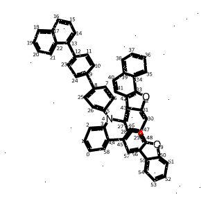 c1ccc(N(c2ccc(-c3ccc(-c4cccc5ccccc45)cc3)cc2)c2cccc3oc4c5ccccc5ccc4c23)c(-c2ccc3oc4ccccc4c3c2)c1